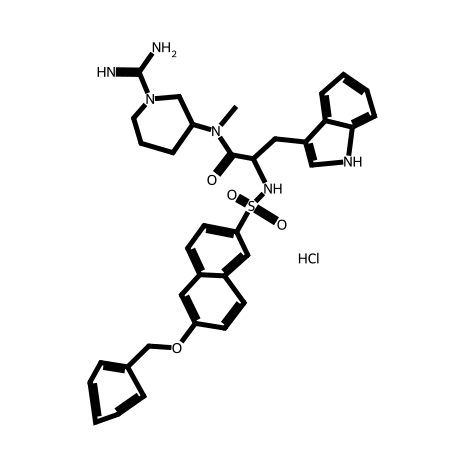 CN(C(=O)C(Cc1c[nH]c2ccccc12)NS(=O)(=O)c1ccc2cc(OCc3ccccc3)ccc2c1)C1CCCN(C(=N)N)C1.Cl